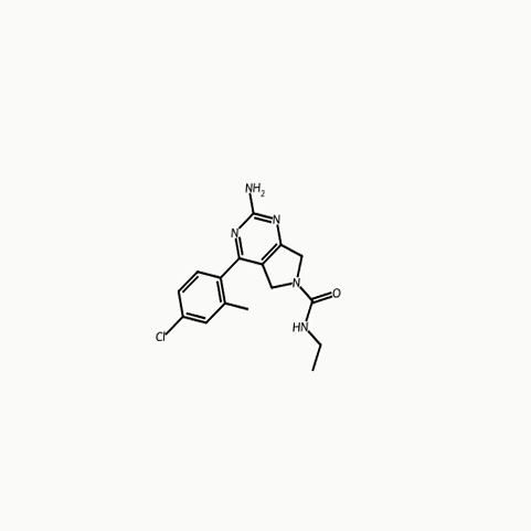 CCNC(=O)N1Cc2nc(N)nc(-c3ccc(Cl)cc3C)c2C1